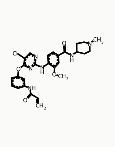 C=CC(=O)Nc1cccc(Oc2nc(Nc3ccc(C(=O)NC4CCN(C)CC4)cc3OC)ncc2Cl)c1